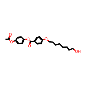 CC(=O)Oc1ccc(OC(=O)c2ccc(OCCCCCCCCO)cc2)cc1